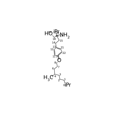 CC(C)CCCC(C)CCCOc1ccc(CCC(N)(CO)C(C)C)cc1